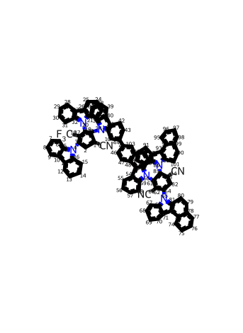 N#Cc1cc(-n2c3ccccc3c3ccccc32)c(C(F)(F)F)c(-n2c3ccccc3c3ccccc32)c1-n1c2ccccc2c2ccc(-c3ccc4c(ccc5c4c4ccccc4n5-c4c(C#N)c(-n5c6ccccc6c6c7ccccc7ccc65)cc(C#N)c4-n4c5ccccc5c5c6ccccc6ccc54)c3)cc21